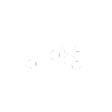 C=CC(=O)Nc1ccccc1Nc1n[nH]c2ccc(OC(C)c3c(Cl)cncc3Cl)cc12